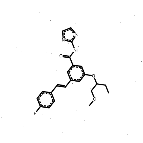 CCC(COC)Oc1cc(C=Cc2ccc(F)cc2)cc(C(=O)Nc2nccs2)c1